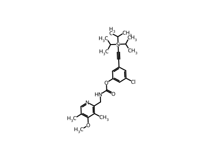 COc1c(C)cnc(CNC(=O)Oc2cc(Cl)cc(C#C[Si](C(C)C)(C(C)C)C(C)C)c2)c1C